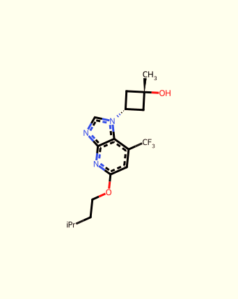 CC(C)CCOc1cc(C(F)(F)F)c2c(ncn2[C@H]2C[C@@](C)(O)C2)n1